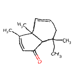 CC1=CC(=O)C2C(C)(C)CC=CC12C